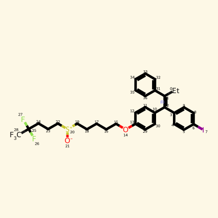 CC/C(=C(\c1ccc(I)cc1)c1ccc(OCCCCC[S+]([O-])CCCC(F)(F)C(F)(F)F)cc1)c1ccccc1